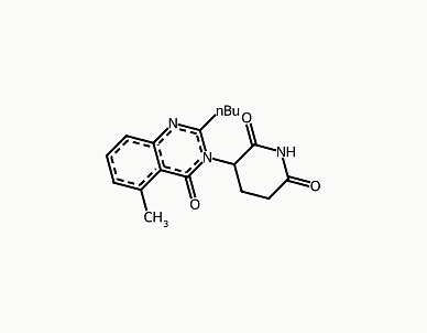 CCCCc1nc2cccc(C)c2c(=O)n1C1CCC(=O)NC1=O